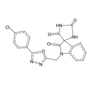 O=C1NC(=O)C2(N1)C(=O)N(Cc1nnc(-c3ccc(Cl)cc3)o1)c1ccccc12